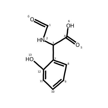 O=CNC(C(=O)O)c1ccccc1O